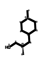 C[C@H](CO)CC1CCN(C)CC1